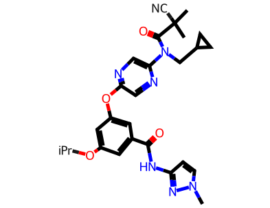 CC(C)Oc1cc(Oc2cnc(N(CC3CC3)C(=O)C(C)(C)C#N)cn2)cc(C(=O)Nc2ccn(C)n2)c1